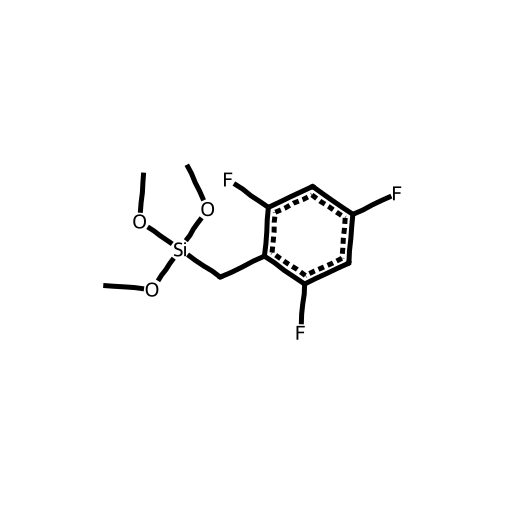 CO[Si](Cc1c(F)cc(F)cc1F)(OC)OC